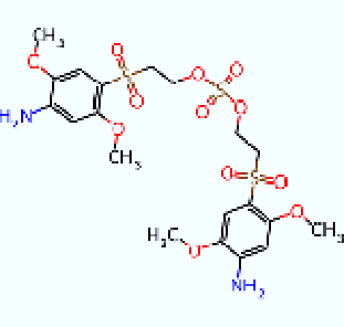 COc1cc(S(=O)(=O)CCOS(=O)(=O)OCCS(=O)(=O)c2cc(OC)c(N)cc2OC)c(OC)cc1N